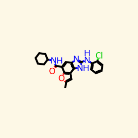 Cc1cc2c(o1)c(C(=O)NC1CCCCC1)cc1nc(Nc3ccccc3Cl)[nH]c12